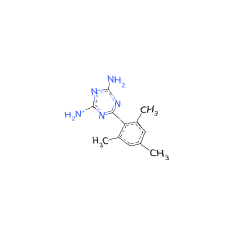 Cc1cc(C)c(-c2nc(N)nc(N)n2)c(C)c1